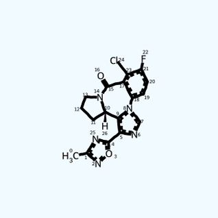 Cc1noc(-c2ncn3c2[C@@H]2CCCN2C(=O)c2c-3ccc(F)c2Cl)n1